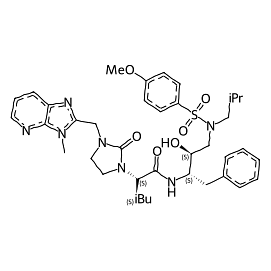 CC[C@H](C)[C@@H](C(=O)N[C@@H](Cc1ccccc1)[C@@H](O)CN(CC(C)C)S(=O)(=O)c1ccc(OC)cc1)N1CCN(Cc2nc3cccnc3n2C)C1=O